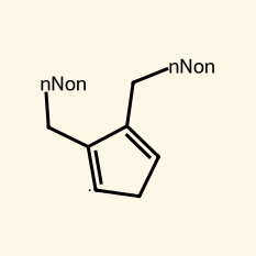 CCCCCCCCCCC1=[C]CC=C1CCCCCCCCCC